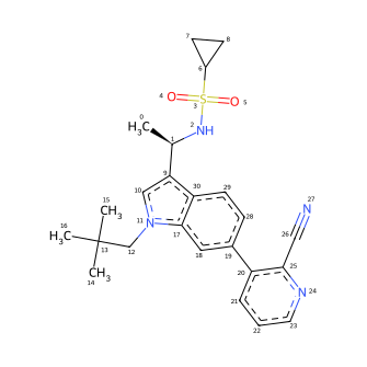 C[C@@H](NS(=O)(=O)C1CC1)c1cn(CC(C)(C)C)c2cc(-c3cccnc3C#N)ccc12